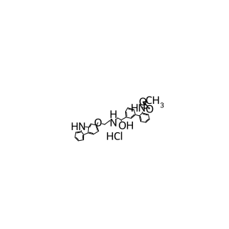 CS(=O)(=O)Nc1ccccc1-c1cccc(C(O)CNCCOc2ccc3c(c2)[nH]c2ccccc23)c1.Cl